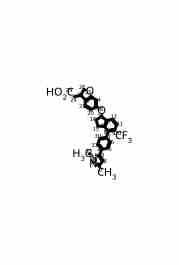 Cc1cc(-c2ccc(-c3c(C(F)(F)F)ccc4c3CC[C@H]4Oc3ccc4c(c3)OCC4CC(=O)O)cc2)n(C)n1